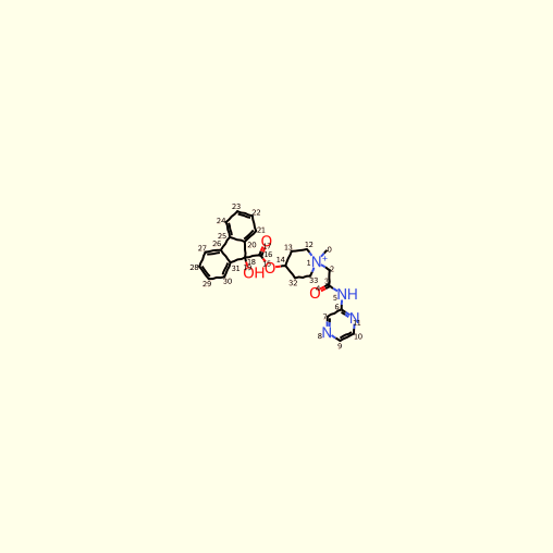 C[N+]1(CC(=O)Nc2cnccn2)CCC(OC(=O)C2(O)c3ccccc3-c3ccccc32)CC1